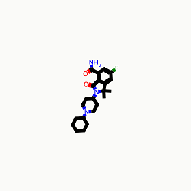 CC1(C)c2cc(F)cc(C(N)=O)c2C(=O)N1C1CCN(C2CCCCC2)CC1